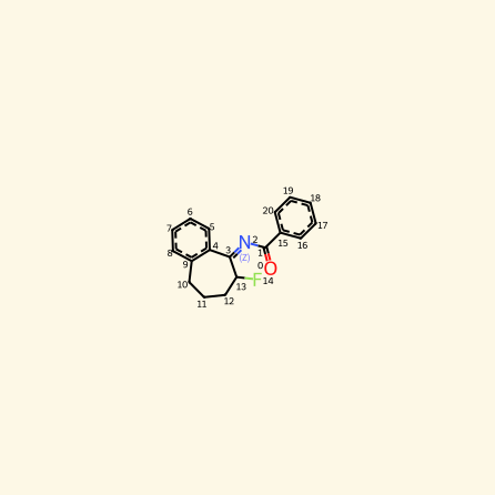 O=C(/N=C1/c2ccccc2CCCC1F)c1ccccc1